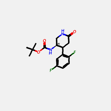 CC(C)(C)OC(=O)N[C@H]1CNC(=O)CC1c1cc(F)ccc1F